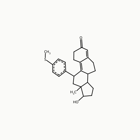 CSc1ccc(C2CC3(C)C(O)CCC3C3CCC4=CC(=O)CCC4=C23)cc1